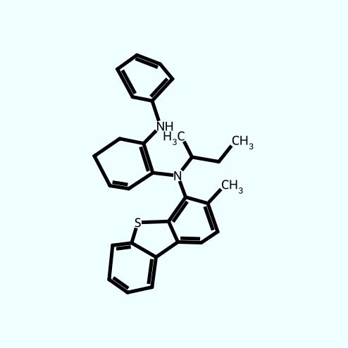 CCC(C)N(C1=C(Nc2ccccc2)CCC=C1)c1c(C)ccc2c1sc1ccccc12